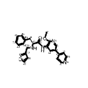 COc1ncc(-c2ccncc2)cc1NC(=O)[C@H](Cc1ccccc1)NCc1ccon1